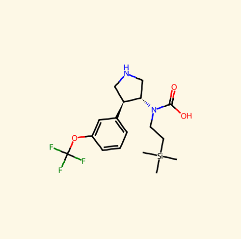 C[Si](C)(C)CCN(C(=O)O)[C@H]1CNC[C@@H]1c1cccc(OC(F)(F)F)c1